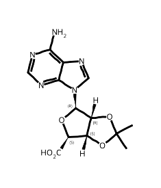 CC1(C)O[C@@H]2[C@H](O1)[C@@H](C(=O)O)O[C@H]2n1cnc2c(N)ncnc21